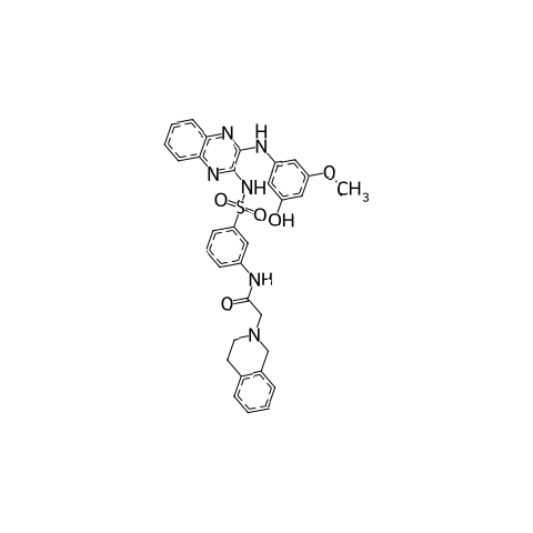 COc1cc(O)cc(Nc2nc3ccccc3nc2NS(=O)(=O)c2cccc(NC(=O)CN3CCc4ccccc4C3)c2)c1